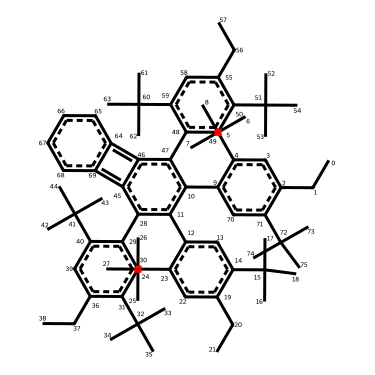 CCc1cc(C(C)(C)C)c(-c2c(-c3cc(C(C)(C)C)c(CC)cc3C(C)(C)C)c(-c3cc(C(C)(C)C)c(CC)cc3C(C)(C)C)c3c(c2-c2cc(C(C)(C)C)c(CC)cc2C(C)(C)C)=c2ccccc2=3)cc1C(C)(C)C